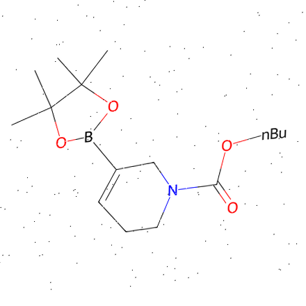 CCCCOC(=O)N1CCC=C(B2OC(C)(C)C(C)(C)O2)C1